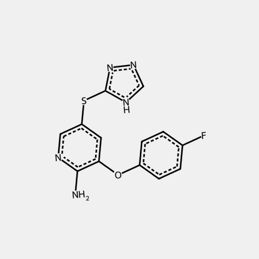 Nc1ncc(Sc2nnc[nH]2)cc1Oc1ccc(F)cc1